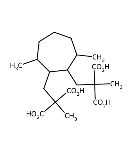 CC1CCCC(C)C(CC(C)(C(=O)O)C(=O)O)C1CC(C)(C(=O)O)C(=O)O